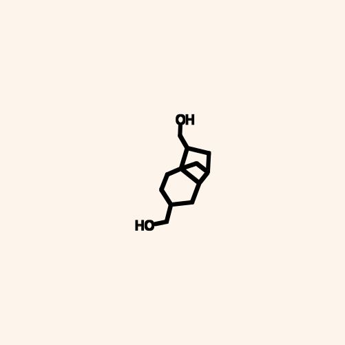 OCC1CCC23CC(CC2CO)C3C1